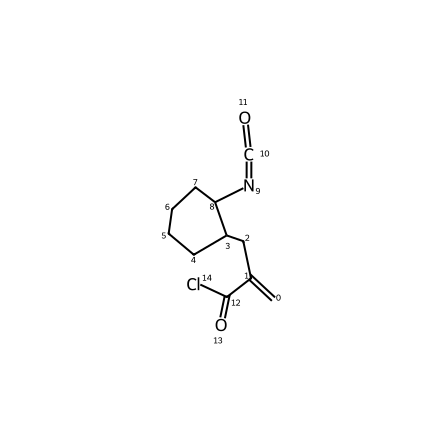 C=C(CC1CCCCC1N=C=O)C(=O)Cl